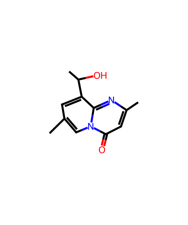 Cc1cc(C(C)O)c2nc(C)cc(=O)n2c1